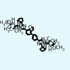 COC(=O)N[C@H](C(=O)N1CC2CCC1(c1nc(-c3ccc(-c4ccc(-c5c[nH]c(C67CCC(CN6C(=O)[C@@H](NC(=O)OC)C(C)C)C7)n5)c5occc45)cc3)c[nH]1)C2)C(C)C